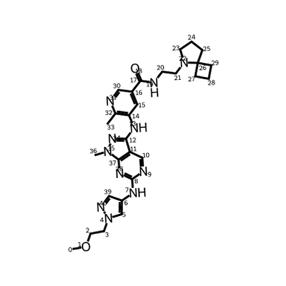 COCCn1cc(Nc2ncc3c(Nc4cc(C(=O)NCCN5CCCC56CCC6)cnc4C)nn(C)c3n2)cn1